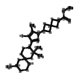 Cc1c(I)c(N2CCC3(CN(C)CCO3)CC2(C)C)nn1C1CC2(C1)CN(C(=O)OC(C)(C)C)C2